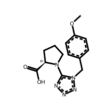 COc1ccc(Cn2nnnc2N2CCC[C@@H]2C(=O)O)cc1